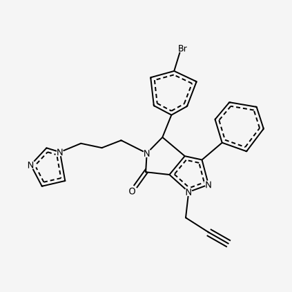 C#CCn1nc(-c2ccccc2)c2c1C(=O)N(CCCn1ccnc1)C2c1ccc(Br)cc1